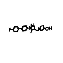 Cc1c(CN2CCC(O)C2)cnn1-c1ccc(-c2ccc(F)cc2)cc1